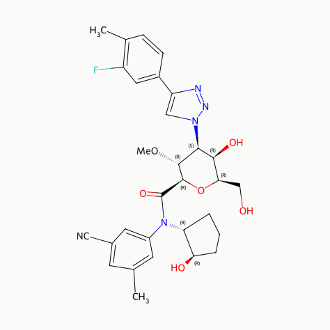 CO[C@@H]1[C@@H](n2cc(-c3ccc(C)c(F)c3)nn2)[C@@H](O)[C@@H](CO)O[C@H]1C(=O)N(c1cc(C)cc(C#N)c1)[C@@H]1CCC[C@H]1O